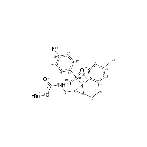 CC(C)(C)OC(=O)NCC1C2CCc3cc(I)ccc3C21S(=O)(=O)c1ccc(F)cc1